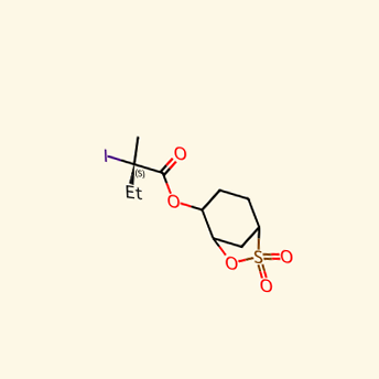 CC[C@](C)(I)C(=O)OC1CCC2CC1OS2(=O)=O